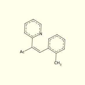 CC(=O)/C(=C/c1ccccc1C)c1ccccn1